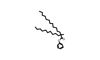 CCCCCCCCCCCCC(C)(CCCCCCCCCC)C(=O)Oc1ccccc1